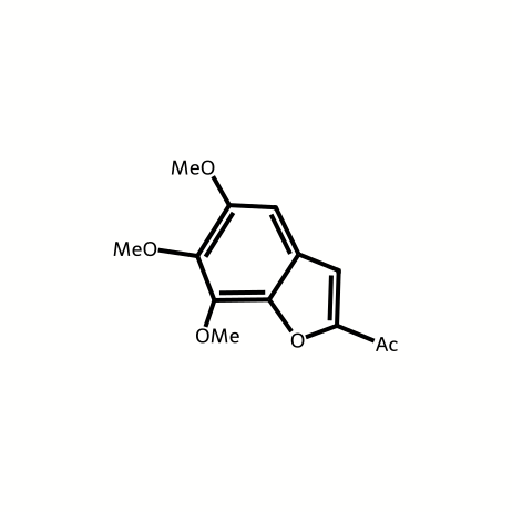 COc1cc2cc(C(C)=O)oc2c(OC)c1OC